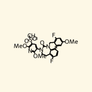 COc1cc(F)c(CN2C(=O)N(c3cc(S(C)(=O)=O)c(OC)nc3OC)CCc3c(F)cccc32)c(F)c1